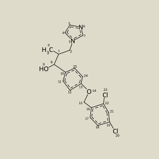 CC(Cn1ccnc1)C(O)c1ccc(OCc2ccc(Cl)cc2Cl)cc1